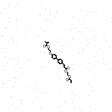 C=CC(=O)OCCOC(=O)/C=C/c1ccc(-c2ccc(OCCOC(=O)C(=C)C)cc2)cc1